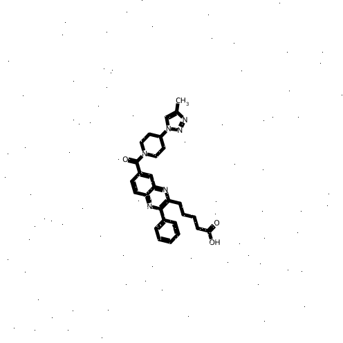 Cc1cn(C2CCN(C(=O)c3ccc4nc(-c5ccccc5)c(CCCCC(=O)O)nc4c3)CC2)nn1